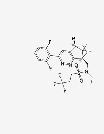 CCN(C[C@@]12CC[C@@H](c3cc(-c4c(F)cccc4F)nnc31)C2(C)C)S(=O)(=O)CCC(F)(F)F